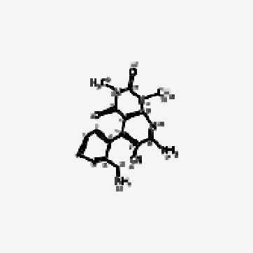 Cn1c(=O)c2c(-c3ccccc3CN)c(C#N)c(N)nc2n(C)c1=O